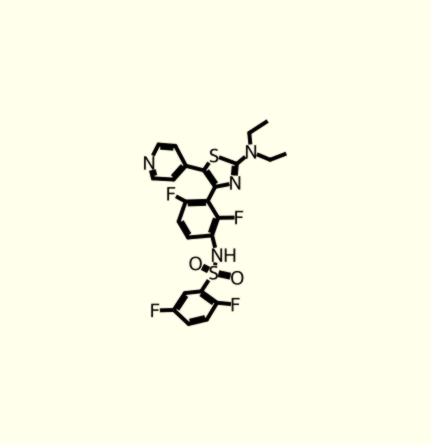 CCN(CC)c1nc(-c2c(F)ccc(NS(=O)(=O)c3cc(F)ccc3F)c2F)c(-c2ccncc2)s1